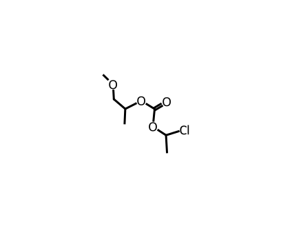 COCC(C)OC(=O)OC(C)Cl